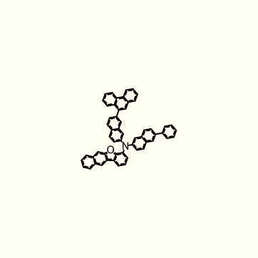 c1ccc(-c2ccc3cc(N(c4ccc5ccc(-c6cc7ccccc7c7ccccc67)cc5c4)c4cccc5c4oc4cc6ccccc6cc45)ccc3c2)cc1